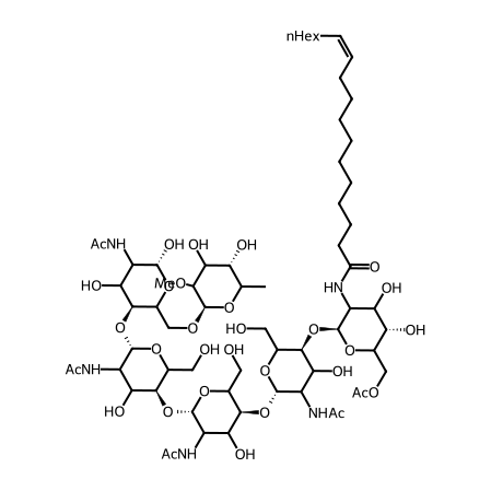 CCCCCC/C=C\CCCCCCCCCC(=O)NC1C(O)[C@H](O)C(COC(C)=O)O[C@H]1O[C@@H]1C(CO)O[C@@H](O[C@@H]2C(CO)O[C@@H](O[C@@H]3C(CO)O[C@@H](O[C@@H]4C(CO[C@@H]5OC(C)[C@@H](O)C(O)C5OC)O[C@@H](O)C(NC(C)=O)C4O)C(NC(C)=O)C3O)C(NC(C)=O)C2O)C(NC(C)=O)C1O